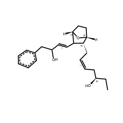 CC[C@@H](O)C/C=C\C[C@@H]1C(/C=C/C(O)Cc2ccccc2)[C@@H]2CC[C@H]1O2